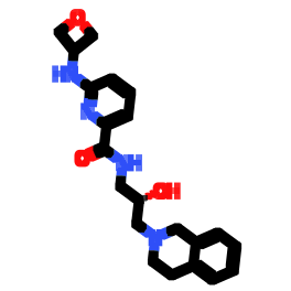 O=C(NC[C@H](O)CN1CCc2ccccc2C1)c1cccc(NC2COC2)n1